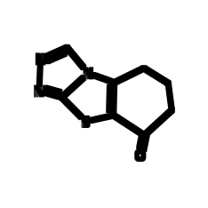 O=C1CCCc2c1sc1nncn21